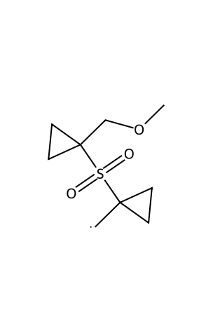 [CH2]C1(S(=O)(=O)C2(COC)CC2)CC1